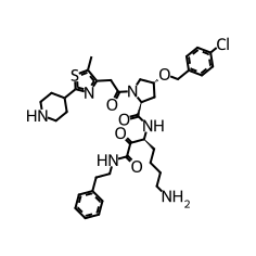 Cc1sc(C2CCNCC2)nc1CC(=O)N1C[C@H](OCc2ccc(Cl)cc2)C[C@H]1C(=O)N[C@@H](CCCCN)C(=O)C(=O)NCCc1ccccc1